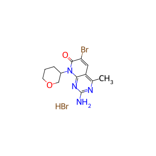 Br.Cc1nc(N)nc2c1cc(Br)c(=O)n2C1CCCOC1